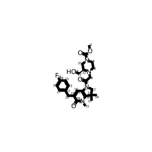 COC(=O)N1CCN(CC(=O)N2CC(C)(C)c3c2cc(Cc2ccc(F)cc2)c(=O)n3C)[C@@H](CO)C1